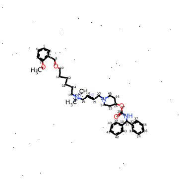 COc1ccccc1COCCCCCC[N+](C)(C)C/C=C/CN1CCC(OC(=O)NC(c2ccccc2)c2ccccc2)CC1